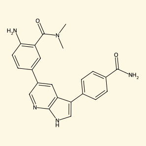 CN(C)C(=O)c1cc(-c2cnc3[nH]cc(-c4ccc(C(N)=O)cc4)c3c2)ccc1N